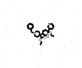 CCOC(=O)C1(C2=CNC(OCC)(c3cccnc3)C=C2)CCN(Cc2ccccc2)CC1